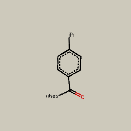 [CH2]CCCCCC(=O)c1ccc(C(C)C)cc1